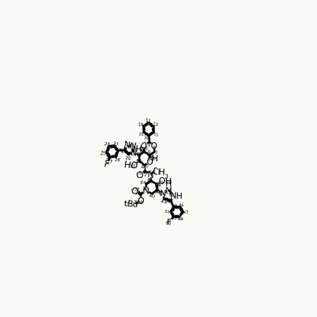 CN(C(=O)[C@@H]1O[C@@H]2COC(c3ccccc3)O[C@@H]2[C@H](n2cc(-c3cccc(F)c3)nn2)[C@H]1O)[C@@H]1CN(C(=O)OC(C)(C)C)C[C@H](N2C=C(c3cccc(F)c3)NN2)[C@H]1O